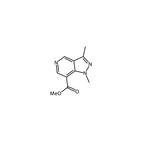 COC(=O)c1cncc2c(C)nn(C)c12